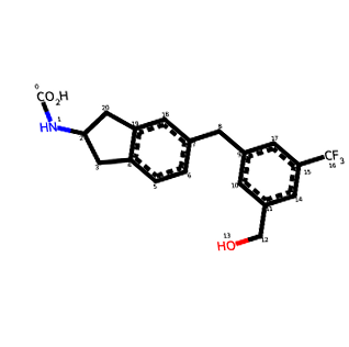 O=C(O)NC1Cc2ccc(Cc3cc(CO)cc(C(F)(F)F)c3)cc2C1